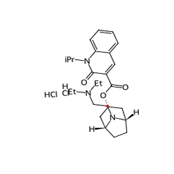 CCN(CC)CCN1[C@@H]2CC[C@H]1C[C@@H](OC(=O)c1cc3ccccc3n(C(C)C)c1=O)C2.Cl.Cl